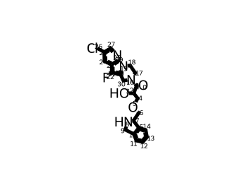 O=C(C(O)COCC1NCc2ccccc21)N1CCn2c(c(F)c3cc(Cl)cnc32)C1